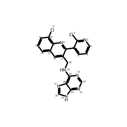 Clc1ncccc1-c1nc2c(Cl)cccc2cc1CNc1ncnc2[nH]cnc12